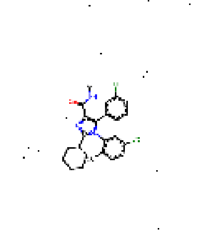 CCNC(=O)c1nc(C2CCCCC2)n(-c2cc(Cl)ccc2C)c1-c1cccc(Cl)c1